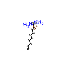 CCCCCCCC[S+]=C(N)N